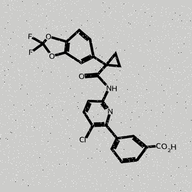 O=C(O)c1cccc(-c2nc(NC(=O)C3(c4ccc5c(c4)OC(F)(F)O5)CC3)ccc2Cl)c1